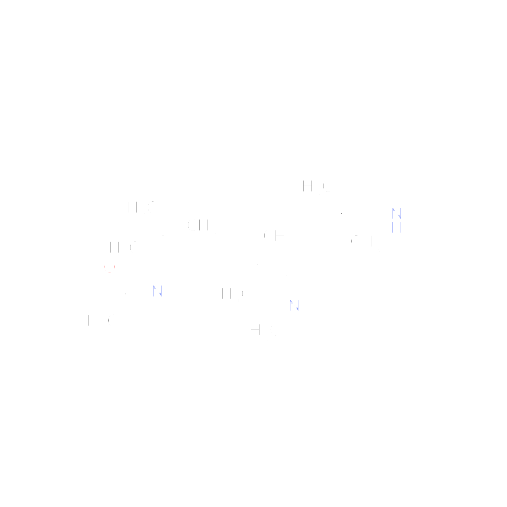 CC(=O)N1CCC(CC(C)(C)C2C(CC(C)(C)C3CCCN3)CCN2C)C1C(C)(C)C